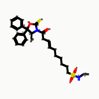 CCCCCCNS(=O)(=O)CCCCCC/C=C/CC(=O)N1C(=S)OC(c2ccccc2)(c2ccccc2)[C@@H]1C(C)C